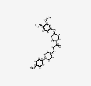 CCOc1cc(OC2CCN(C(=O)CCN3CCN(c4ccc(C(C)(C)C)cc4)CC3)CC2)ccc1[N+](=O)[O-]